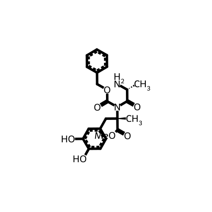 COC(=O)[C@](C)(Cc1ccc(O)c(O)c1)N(C(=O)OCc1ccccc1)C(=O)[C@@H](C)N